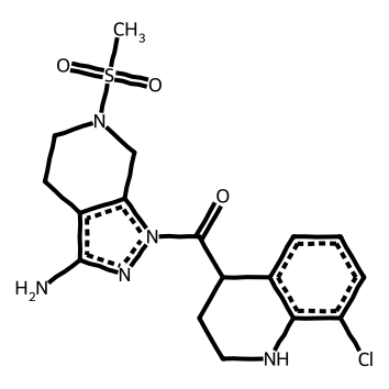 CS(=O)(=O)N1CCc2c(N)nn(C(=O)C3CCNc4c(Cl)cccc43)c2C1